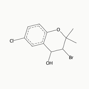 CC1(C)Oc2ccc(Cl)cc2C(O)C1Br